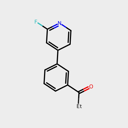 CCC(=O)c1cccc(-c2ccnc(F)c2)c1